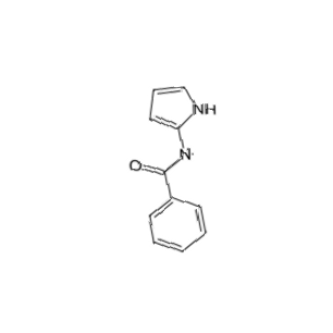 O=C([N]c1ccc[nH]1)c1ccccc1